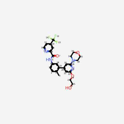 Cc1ccc(NC(=O)c2cc(C(F)(F)F)ccn2)cc1-c1cc(OCCO)nc(N2CCOCC2)c1